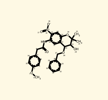 COc1ccc(CC(=O)Nc2cc3c(cc2[N+](=O)[O-])OC(C)(C)C(O)C3OCc2ccccc2)cc1